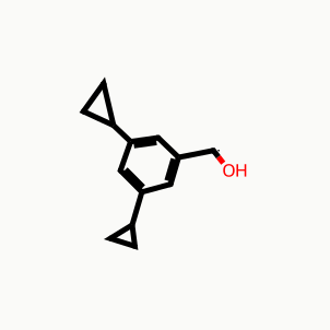 O[CH]c1cc(C2CC2)cc(C2CC2)c1